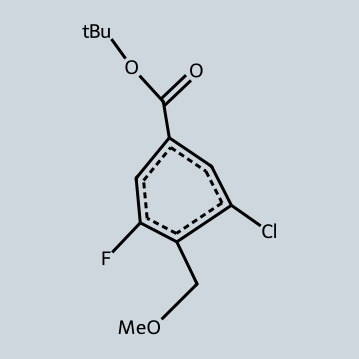 COCc1c(F)cc(C(=O)OC(C)(C)C)cc1Cl